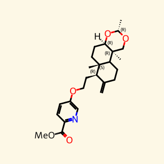 C=C1CCC2[C@]3(C)CO[C@@H](C)O[C@@H]3CC[C@@]2(C)[C@@H]1CCOc1ccc(C(=O)OC)nc1